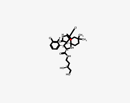 CC1(C)CCC2(CC1)N[C@@H](C(=O)NCC[C@H](O)CO)[C@H](c1cccc(Cl)c1F)[C@]21C(=O)Nc2cc(Cl)ccc21